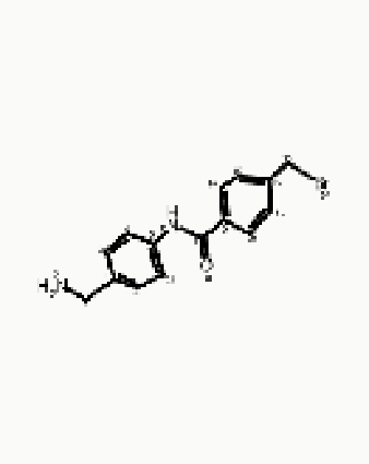 NCc1ccc(NC(=O)c2ccc(CBr)cc2)cc1